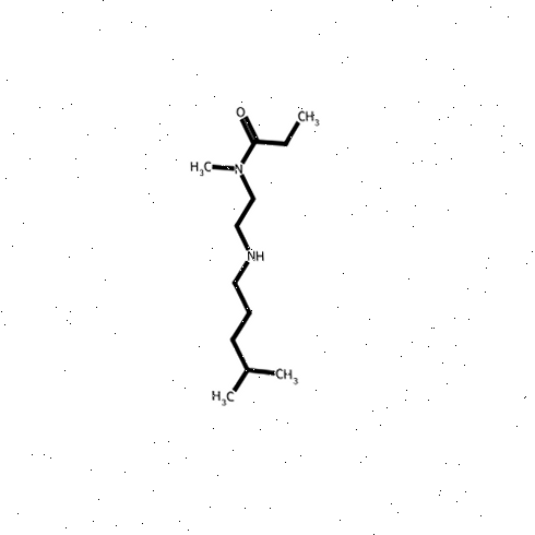 CCC(=O)N(C)CCNCCCC(C)C